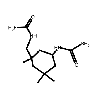 BC(=O)NC1CC(C)(C)CC(C)(CNC(=O)P)C1